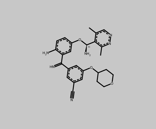 Cc1cnnc(C)c1[C@@H](N)Oc1ccc(N)c(C(=N)c2cc(C#N)cc(OC3CCOCC3)c2)c1